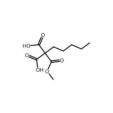 CCCCCC(C(=O)O)(C(=O)O)C(=O)OC